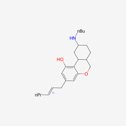 CCC/C=C/Cc1cc(O)c2c(c1)OCC1CCC(NCCCC)CC21